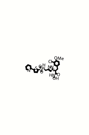 COc1ccc(CC(C(=O)NO)n2cc(CNS(=O)(=O)c3ccc(-c4ccccn4)s3)nn2)cc1Cl